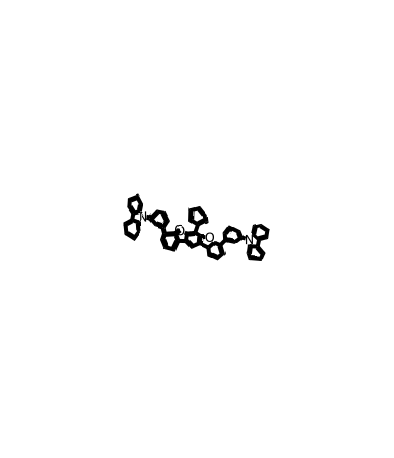 C1=CC2c3cc4c(oc5c(-c6cccc(-n7c8ccccc8c8ccccc87)c6)cccc54)c(-c4ccccc4)c3OC2C(c2cccc(-n3c4ccccc4c4ccccc43)c2)=C1